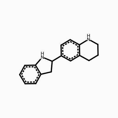 c1ccc2c(c1)CC(c1ccc3c(c1)CCCN3)N2